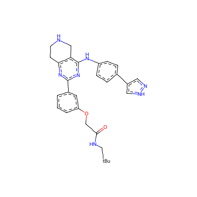 CC(C)(C)CNC(=O)COc1cccc(-c2nc3c(c(Nc4ccc(-c5cn[nH]c5)cc4)n2)CNCC3)c1